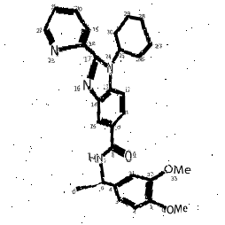 COc1ccc([C@@H](C)NC(=O)c2ccc3c(c2)nc(-c2ccccn2)n3C2CCCCC2)cc1OC